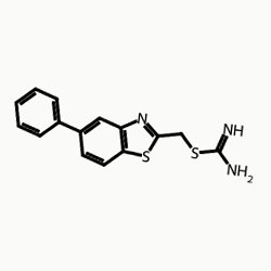 N=C(N)SCc1nc2cc(-c3ccccc3)ccc2s1